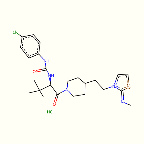 CN=c1sccn1CCC1CCN(C(=O)[C@H](NC(=O)Nc2ccc(Cl)cc2)C(C)(C)C)CC1.Cl